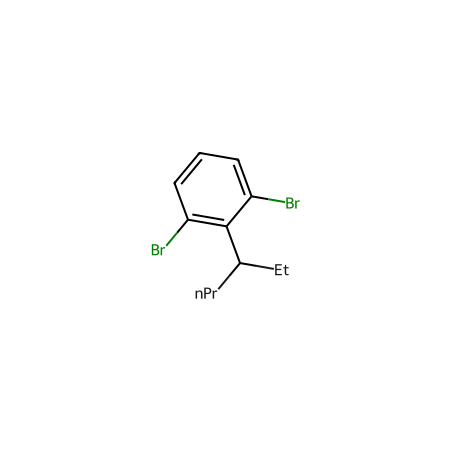 CCCC(CC)c1c(Br)cccc1Br